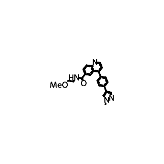 COCCNC(=O)c1ccc2nccc(-c3ccc(-c4cnn(C)c4)cc3)c2c1